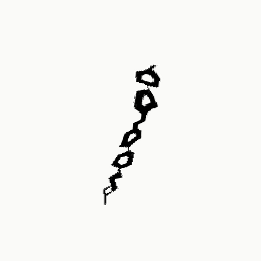 C[C@H]1CC[C@H](c2ccc(CCc3ccc([C@H]4CC[C@H](CCCF)CC4)cc3)cc2)CC1